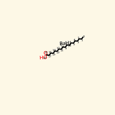 CCCCCCCCCCCCCCCCCCC(=O)O.[BaH2]